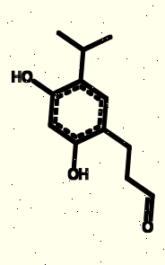 CC(C)c1cc(CCC=O)c(O)cc1O